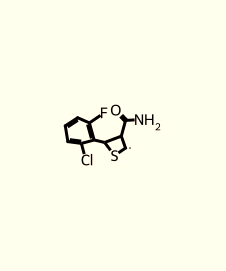 NC(=O)C1[CH]SC1c1c(F)cccc1Cl